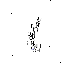 N=C(/C=C\O)NC[C@H]1CN(c2ccc(N3CC4(COC4)C3)c(F)c2)C(=O)O1